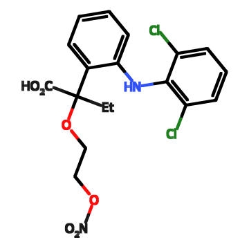 CCC(OCCO[N+](=O)[O-])(C(=O)O)c1ccccc1Nc1c(Cl)cccc1Cl